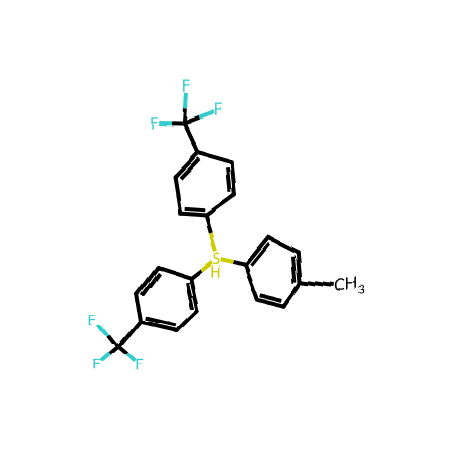 Cc1ccc([SH](c2ccc(C(F)(F)F)cc2)c2ccc(C(F)(F)F)cc2)cc1